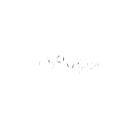 O=C(NC1CC2CC1CN2)c1ccc(-c2cccc(NC(=O)C(F)(F)F)c2)o1